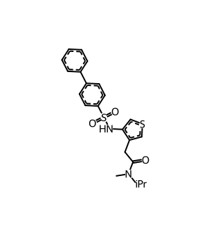 CC(C)N(C)C(=O)Cc1cscc1NS(=O)(=O)c1ccc(-c2ccccc2)cc1